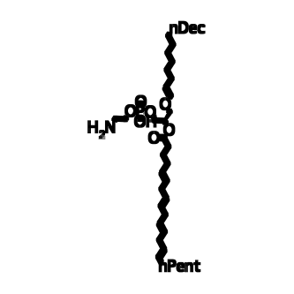 CCCCC/C=C/C/C=C/C/C=C/C/C=C/CCCC(=O)O[C@H](CO/C=C/CCCCCCCCCCCCCCCC)COP(=O)(O)OCCN